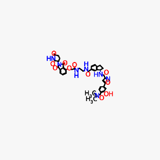 CN(C)C(=O)c1ccc(-c2cc(C(=O)N[C@@H]3CCc4ccc(C(=O)NCCNC(=O)COc5cccc6c5C(=O)N(C5CCC(=O)NC5=O)C6=O)cc43)no2)cc1O